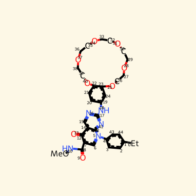 CCc1ccc(-n2cc(C(=O)NOC)c(=O)c3cnc(Nc4ccc5c(c4)OCCOCCOCCOCCOCCO5)nc32)cc1